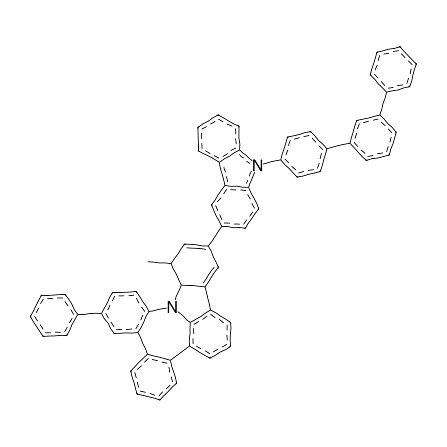 CC1C=C(c2ccc3c(c2)c2ccccc2n3-c2ccc(-c3cccc(-c4ccccc4)c3)cc2)C=C2c3cccc4c3N(c3ccc(-c5ccccc5)cc3-c3ccccc3-4)C21